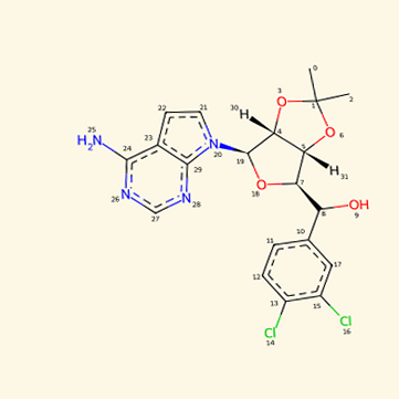 CC1(C)O[C@@H]2[C@H](O1)[C@@H](C(O)c1ccc(Cl)c(Cl)c1)O[C@H]2n1ccc2c(N)ncnc21